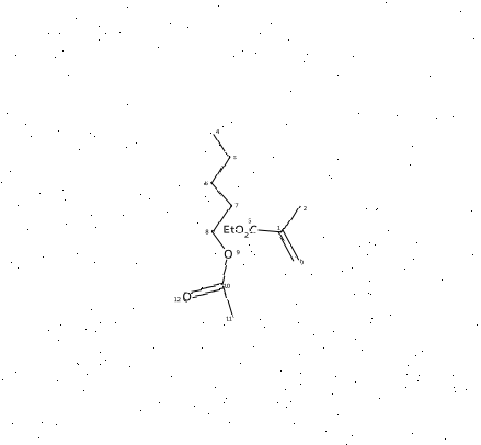 C=C(C)C(=O)OCC.CCCCCOC(C)=O